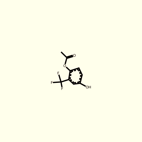 CC(=O)Oc1ccc(O)cc1C(F)(F)F